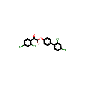 O=C(c1ccc(Cl)cc1Cl)C(Br)Oc1ccc(-c2ccc(Cl)cc2Cl)cc1